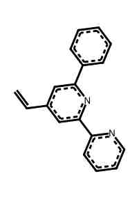 C=Cc1cc(-c2ccccc2)nc(-c2ccccn2)c1